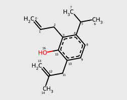 C=CCc1c(C(C)C)ccc(CC(=C)C)c1O